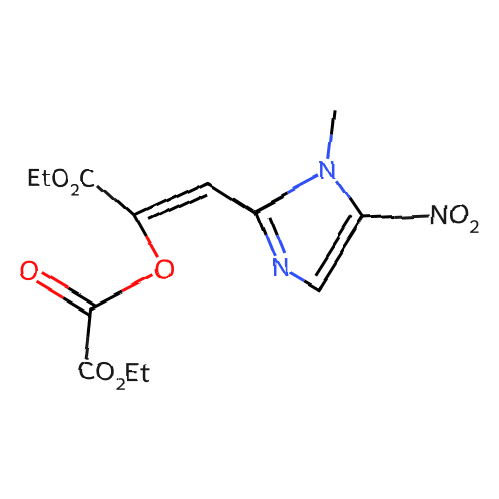 CCOC(=O)C(=O)O/C(=C\c1ncc([N+](=O)[O-])n1C)C(=O)OCC